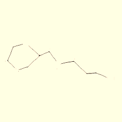 CCCCOCC1CNCCO1